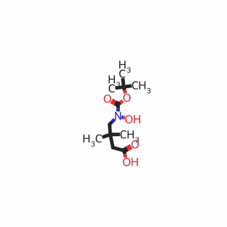 CC(C)(CC(=O)O)CN(O)C(=O)OC(C)(C)C